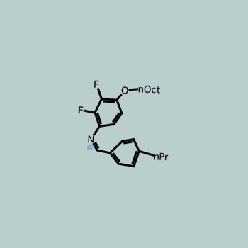 CCCCCCCCOc1ccc(/N=C\c2ccc(CCC)cc2)c(F)c1F